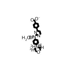 O.[2H]C1([2H])COCC([2H])([2H])N1c1ccc(Nc2nccc(-c3ccc(C(=O)[O-])cc3)n2)cc1.[Li+]